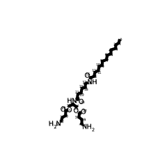 CCCCCCCCCCCCCCC(=O)NCCCCCC(=O)NC(COC(=O)CCCN)COC(=O)CCCN